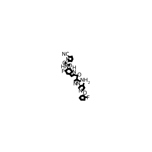 Cc1cc(Oc2ccccc2F)ncc1-n1ncc(C(=O)c2cc3cc(F)c(NS(=O)(=O)c4cccc(C#N)n4)cc3[nH]2)c1N